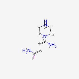 N/C(I)=C\C=C(/N)N1CCNCC1